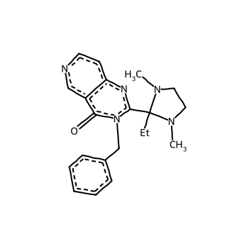 CCC1(c2nc3ccncc3c(=O)n2Cc2ccccc2)N(C)CCN1C